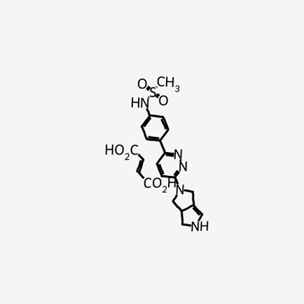 CS(=O)(=O)Nc1ccc(-c2ccc(N3CC4=CNCC4C3)nn2)cc1.O=C(O)C=CC(=O)O